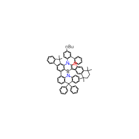 CCCCc1ccc(N2c3oc4cc5c(cc4c3B3c4c(cc6c(c42)C(C)(C)c2ccccc2-6)-c2cccc4c2N3c2ccccc2C4(c2ccccc2)c2ccccc2)C(C)(C)CCC5(C)C)c(-c2ccccc2)c1